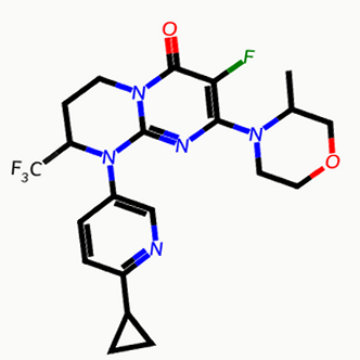 CC1COCCN1c1nc2n(c(=O)c1F)CCC(C(F)(F)F)N2c1ccc(C2CC2)nc1